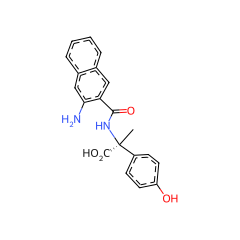 C[C@@](NC(=O)c1cc2ccccc2cc1N)(C(=O)O)c1ccc(O)cc1